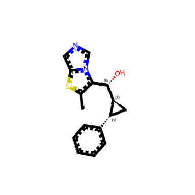 Cc1sc2cncn2c1[C@H](O)[C@H]1C[C@@H]1c1ccccc1